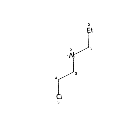 CC[CH2][Al][CH2]CCl